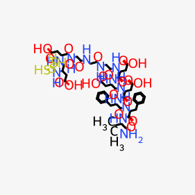 CC(C)C(NC(=O)C(Cc1ccccc1)NC(=O)C(Cc1ccccc1)NC(=O)C(CC(=O)O)NC(=O)C(CC(=O)O)NC(=O)C(CC(=O)O)NC(=O)CNC(=O)CNC(=O)CNC(=O)C(CC(=O)O)NC(=O)C(CC(=O)O)N[SH](S)S)C(N)=O